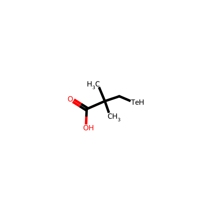 CC(C)(C[TeH])C(=O)O